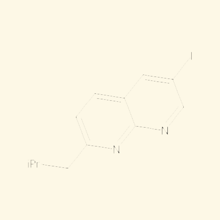 CC(C)Cc1ccc2cc(I)cnc2n1